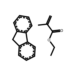 C=C(C)C(=O)OCC.c1ccc2c(c1)Cc1ccccc1-2